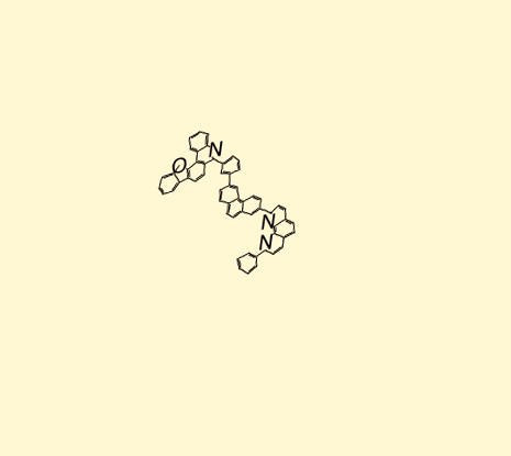 c1ccc(-c2ccc3ccc4ccc(-c5ccc6c(ccc7ccc(-c8cccc(-c9nc%10ccccc%10c%10c9ccc9c%11ccccc%11oc9%10)c8)cc76)c5)nc4c3n2)cc1